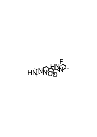 CC1=CN2C=C(c3cc4ccc(N5C[C@@H](C)N[C@@H](C)C5)nc4oc3=O)NC2C(F)=C1